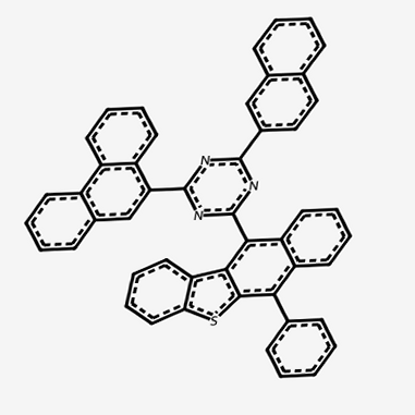 c1ccc(-c2c3ccccc3c(-c3nc(-c4ccc5ccccc5c4)nc(-c4cc5ccccc5c5ccccc45)n3)c3c2sc2ccccc23)cc1